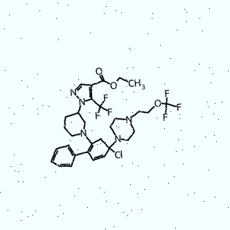 CCOC(=O)c1cnn(C2CCCN(C3=C(c4ccccc4)C=CC(Cl)(N4CCN(CCOC(F)(F)F)CC4)C3)C2)c1C(F)(F)F